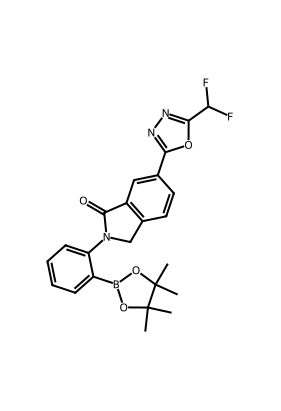 CC1(C)OB(c2ccccc2N2Cc3ccc(-c4nnc(C(F)F)o4)cc3C2=O)OC1(C)C